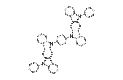 c1ccc(-n2c3ccccc3c3cc4c(cc32)c2ccccc2n4-c2ccc(-n3c4ccccc4c4cc5c(cc43)c3ccccc3n5-c3ccccc3)cc2)cc1